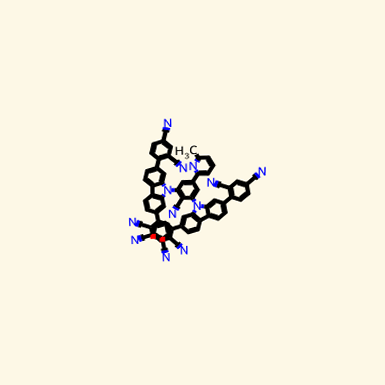 Cc1cccc(-c2cc(-n3c4cc(-c5ccc(C#N)cc5C#N)ccc4c4ccc(-c5ccc(C#N)cc5C#N)cc43)c(C#N)c(-n3c4cc(-c5ccc(C#N)cc5C#N)ccc4c4ccc(-c5ccc(C#N)cc5C#N)cc43)c2)n1